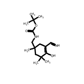 CC1(CNC(=O)OC(C)(C)C)CC(C=N)=C(O)C(C)(C)C1